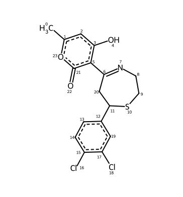 Cc1cc(O)c(C2=NCCSC(c3ccc(Cl)c(Cl)c3)C2)c(=O)o1